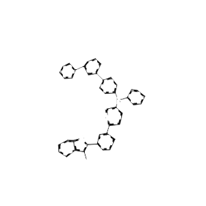 Cc1c(-c2cccc(-c3ccc(N(c4ccccc4)c4ccc(-c5cccc(-c6ccccc6)c5)cc4)cc3)c2)oc2ccccc12